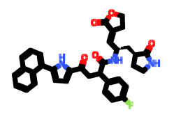 O=C1OCC/C1=C\[C@H](C[C@@H]1CCNC1=O)NC(=O)C(CC(=O)c1ccc(-c2cccc3ccccc23)[nH]1)c1ccc(F)cc1